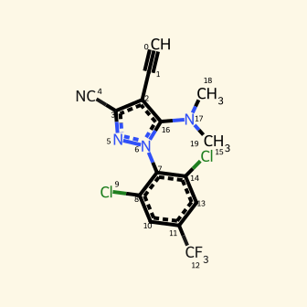 C#Cc1c(C#N)nn(-c2c(Cl)cc(C(F)(F)F)cc2Cl)c1N(C)C